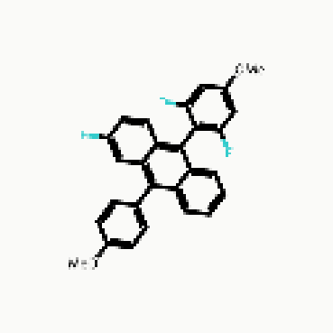 COc1ccc(-c2c3ccccc3c(-c3c(F)cc(OC)cc3F)c3ccc(F)cc23)cc1